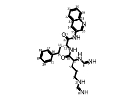 N=CNCCC[C@H](NC=N)C(=O)N[C@H](CCc1ccccc1)C(=O)Nc1cnc2ccccc2c1